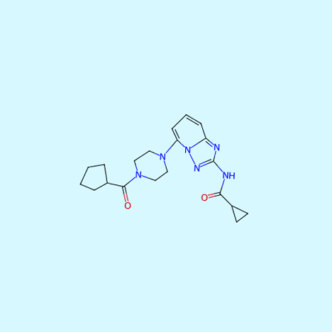 O=C(Nc1nc2cccc(N3CCN(C(=O)C4CCCC4)CC3)n2n1)C1CC1